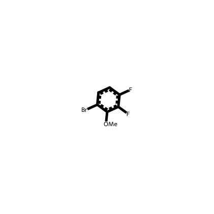 COc1c(Br)ccc(F)c1F